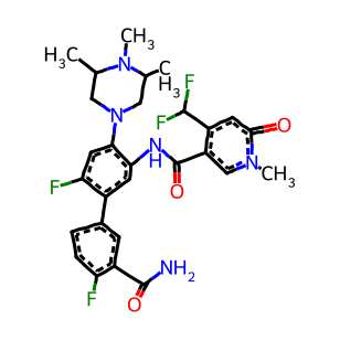 CC1CN(c2cc(F)c(-c3ccc(F)c(C(N)=O)c3)cc2NC(=O)c2cn(C)c(=O)cc2C(F)F)CC(C)N1C